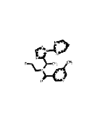 Cc1cncc(C(=O)N(CCF)C(C)c2ncnn2-c2ncccn2)c1